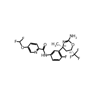 C[C@@]1(c2cc(NC(=O)c3ccc(OC(F)F)cn3)ccc2F)C[C@@H](C(F)(F)F)OC(N)=N1